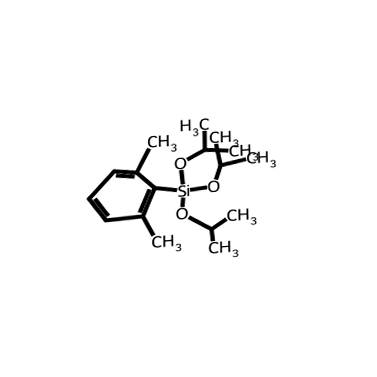 Cc1cccc(C)c1[Si](OC(C)C)(OC(C)C)OC(C)C